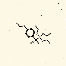 CCO[Si](OCC)(OCC)C(C)(Br)c1ccc(CCBr)cc1